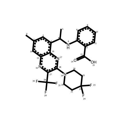 Cc1cc(C(C)Nc2ccccc2C(=O)O)c2nc(N3CCC(F)(F)CC3)c(C(F)(F)F)nc2c1